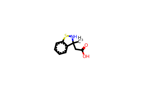 CC1(CC(=O)O)NSc2ccccc21